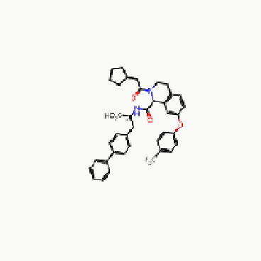 O=C(N[C@@H](Cc1ccc(-c2ccccc2)cc1)C(=O)O)C1c2cc(Oc3ccc(C(F)(F)F)cc3)ccc2CCN1C(=O)CC1CCCC1